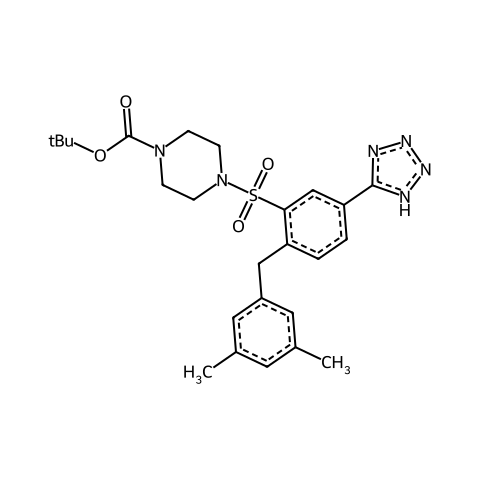 Cc1cc(C)cc(Cc2ccc(-c3nnn[nH]3)cc2S(=O)(=O)N2CCN(C(=O)OC(C)(C)C)CC2)c1